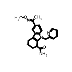 CON=C(C)c1ccc2c(c1)c1c(n2Cc2ccccn2)C(C(N)=O)C[C]C1